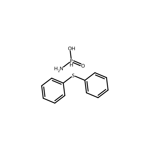 N[PH](=O)O.c1ccc(Sc2ccccc2)cc1